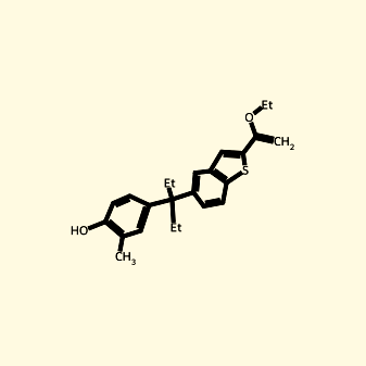 C=C(OCC)c1cc2cc(C(CC)(CC)c3ccc(O)c(C)c3)ccc2s1